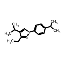 CCc1nn(-c2ccc(C(C)C)cc2)cc1C(C)C